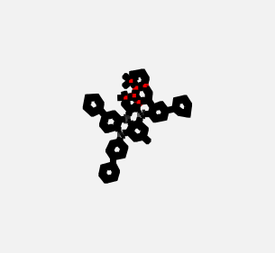 Cc1cc2c3c(c1)N(c1ccc(-c4ccccc4)cc1-c1ccc(C(C)(C)C)c(C(C)(C)C)c1)c1cc(-c4ccccc4)ccc1B3c1cc(-c3ccccc3)ccc1N2c1ccc(-c2ccccc2)cc1